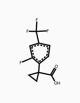 O=C(O)C1(c2ccc(C(F)(F)F)cc2F)CC1